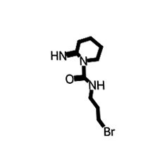 N=C1CCCCN1C(=O)NCCCBr